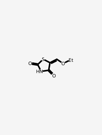 CCOC=C1SC(=O)NC1=O